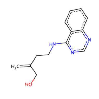 C=C(CO)CCNc1ncnc2ccccc12